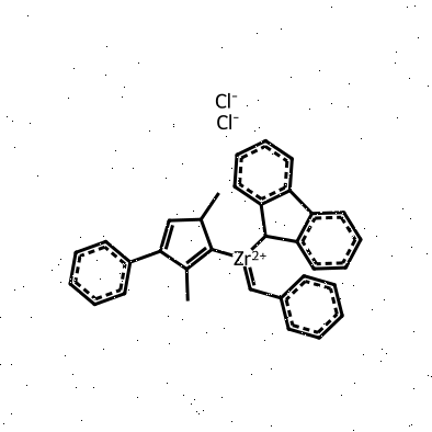 CC1=[C](/[Zr+2](=[CH]/c2ccccc2)[CH]2c3ccccc3-c3ccccc32)C(C)C=C1c1ccccc1.[Cl-].[Cl-]